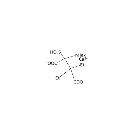 CCCCCCC(C(=O)[O-])(C(CC)(CC)C(=O)[O-])S(=O)(=O)O.[Ca+2]